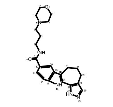 O=C(NCCCN1CCOCC1)c1ccc2[nH]c3c(c2c1)CCCc1cn[nH]c1-3